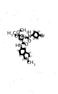 COC1(OC)C[C@H](C(=O)Nc2ccc3c(c2)CCN(C)C3)N(C(=O)Nc2ccc(Br)cc2)C1